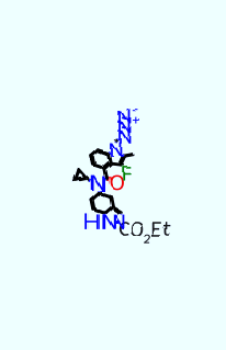 CCOC(=O)N1C=C2CC(N(C(=O)c3cccc4c3c(F)c(C)n4CN=[N+]=[N-])C3CC3)CCC2N1